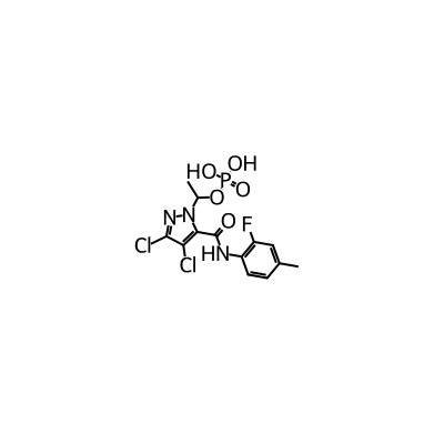 Cc1ccc(NC(=O)c2c(Cl)c(Cl)nn2C(C)OP(=O)(O)O)c(F)c1